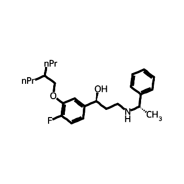 CCCC(CCC)COc1cc([C@@H](O)CCN[C@@H](C)c2ccccc2)ccc1F